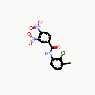 Cc1cccc(NC(=O)c2ccc([N+](=O)[O-])c([N+](=O)[O-])c2)c1Cl